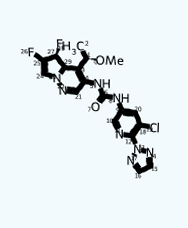 CO[C@@H](C)C1=C(NC(=O)Nc2cnc(-n3nccn3)c(Cl)c2)C=NN2C=C(F)[C@@H](F)C12